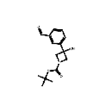 CC(C)(C)OC(=O)N1CC(O)(c2cccc(C=O)c2)C1